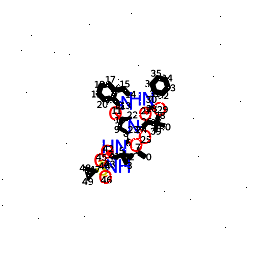 C=C[C@@H]1C[C@]1(NC(=O)[C@@H]1C[C@@H](Oc2nccc3ccccc23)CN1C(=O)[C@@H](OC(=O)Nc1ccccc1)C(C)(C)C)C(=O)NS(=O)(=O)C1CC1